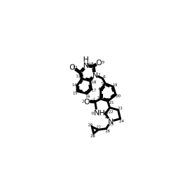 NC(=O)c1cc(Cn2c(=O)[nH]c(=O)c3ccccc32)ccc1C1CCN(CC2CC2)C1